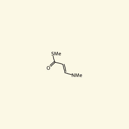 CN/C=C/C(=O)SC